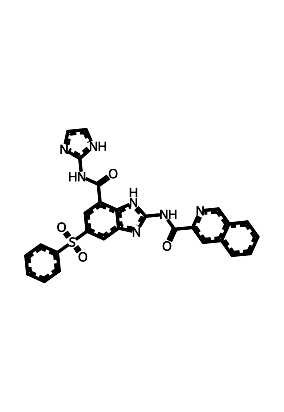 O=C(Nc1nc2cc(S(=O)(=O)c3ccccc3)cc(C(=O)Nc3ncc[nH]3)c2[nH]1)c1cc2ccccc2cn1